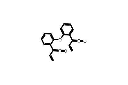 C=CC(=C=O)c1ccccc1Oc1ccccc1C(=C=O)C=C